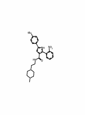 CN1CCN(CCNC(=O)c2cc(-c3ccc(C(C)(C)C)cc3)[nH]c2-c2ccccc2[N+](=O)[O-])CC1